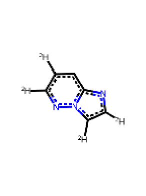 [2H]c1cc2nc([2H])c([2H])n2nc1[2H]